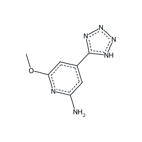 COc1cc(-c2nnn[nH]2)cc(N)n1